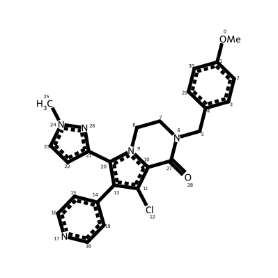 COc1ccc(CN2CCn3c(c(Cl)c(-c4ccncc4)c3-c3ccn(C)n3)C2=O)cc1